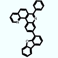 c1ccc(-c2nc3cc(-c4cccc5c4oc4ccccc45)ccc3c3c2ccc2cccnc23)cc1